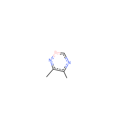 Cc1nbcnc1C